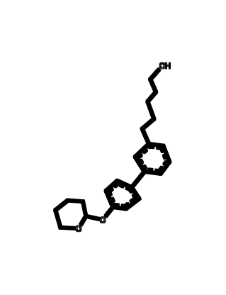 OCCCCCc1cccc(-c2ccc(OC3CCCCO3)cc2)c1